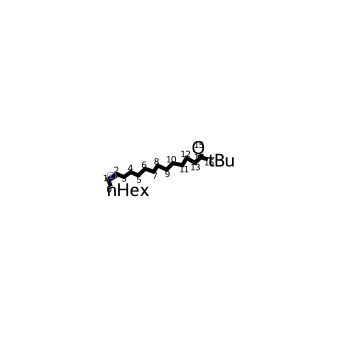 CCCCCC/C=C\CCCCCCCCCCCC(=O)C(C)(C)C